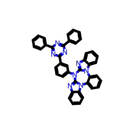 c1ccc(-c2nc(-c3ccccc3)nc(-c3cccc(-n4c5nc6ccccc6n5c5ccccc5n5c6ccccc6nc45)c3)n2)cc1